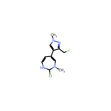 CN1C=C(c2cn(C)nc2CF)C=CNC1Cl